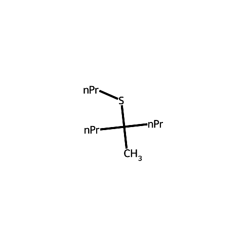 CCCSC(C)(CCC)CCC